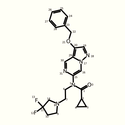 O=C(C1CC1)N(CCN1CCC(F)(F)C1)c1cn2ncc(OCc3ccccc3)c2cn1